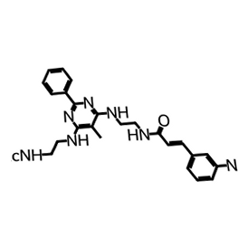 CC(=O)NCCNc1nc(-c2ccccc2)nc(NCCNC(=O)C=Cc2cccc([N+](=O)[O-])c2)c1C